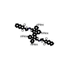 CCCCCCc1ccc(C2(c3ccc(CCCCCC)cc3)c3cc4c(cc3-c3sc(/C=c5\ccc(=C6C(=O)c7cc8ccccc8cc7C6=O)s5)cc32)C(c2ccc(CCCCCC)cc2)(c2ccc(CCCCCC)cc2)c2cc(/C=c3\ccc(=C5C(=O)c6cc7ccccc7cc6C5=O)s3)sc2-4)cc1